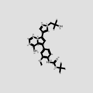 COc1cc(-c2cc(-c3cnn(CC(C)(C)O)c3)n3ncnc(N)c23)ccc1NC(=O)OC(C)(C)C